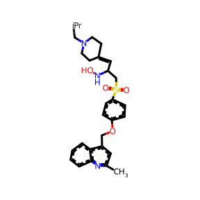 Cc1cc(COc2ccc(S(=O)(=O)CC(C=C3CCN(CC(C)C)CC3)NO)cc2)c2ccccc2n1